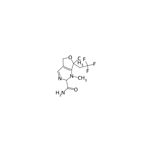 CN1C2=C(C=NC1C(N)=O)COC2(C)CC(F)(F)F